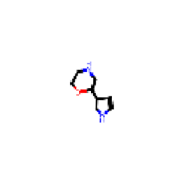 C1=CC(C2CNCCO2)CN1